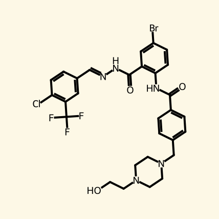 O=C(Nc1ccc(Br)cc1C(=O)N/N=C/c1ccc(Cl)c(C(F)(F)F)c1)c1ccc(CN2CCN(CCO)CC2)cc1